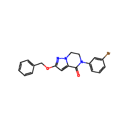 O=C1c2cc(OCc3ccccc3)nn2CCN1c1cccc(Br)c1